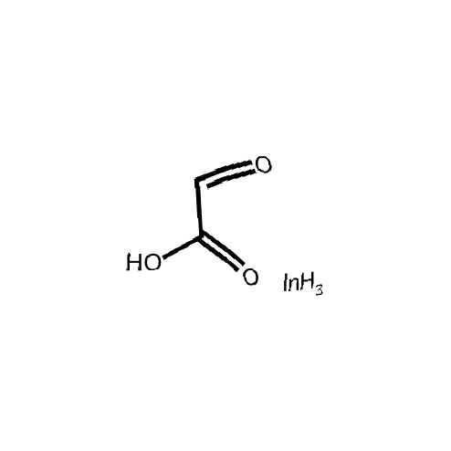 O=CC(=O)O.[InH3]